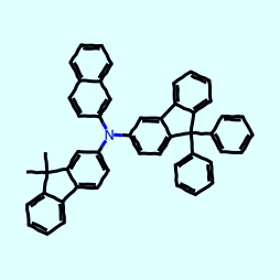 CC1(C)c2ccccc2-c2ccc(N(c3ccc4c(c3)-c3ccccc3C4(c3ccccc3)c3ccccc3)c3ccc4ccccc4c3)cc21